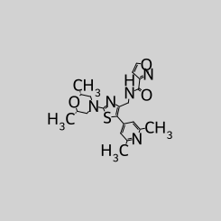 Cc1cc(-c2sc(N3C[C@@H](C)O[C@@H](C)C3)nc2CNC(=O)c2ccon2)cc(C)n1